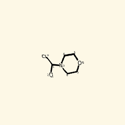 ClC(Cl)N1CCOCC1